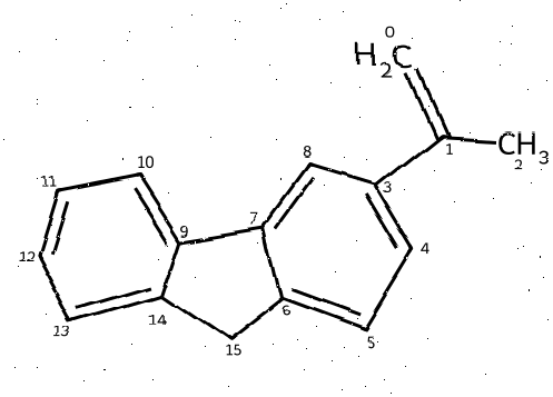 C=C(C)c1ccc2c(c1)-c1ccccc1C2